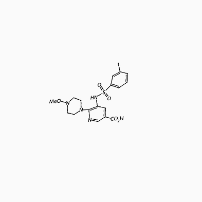 CON1CCN(c2ncc(C(=O)O)cc2NS(=O)(=O)c2cccc(C)c2)CC1